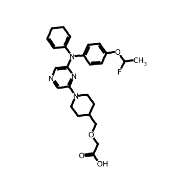 CC(F)Oc1ccc(N(C2=CCCC=C2)c2cncc(N3CCC(COCC(=O)O)CC3)n2)cc1